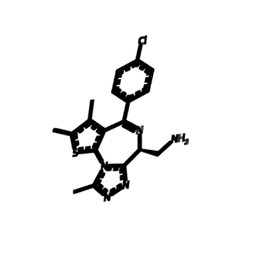 Cc1sc2c(c1C)C(c1ccc(Cl)cc1)=N[C@@H](CN)c1nnc(C)n1-2